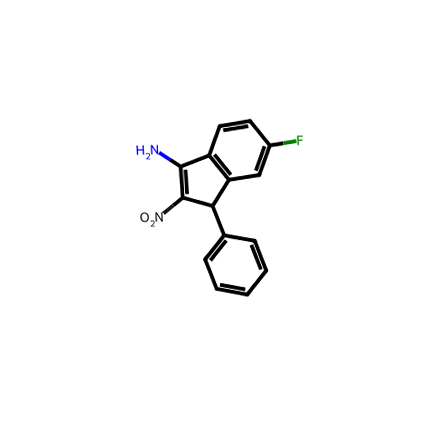 NC1=C([N+](=O)[O-])C(c2ccccc2)c2cc(F)ccc21